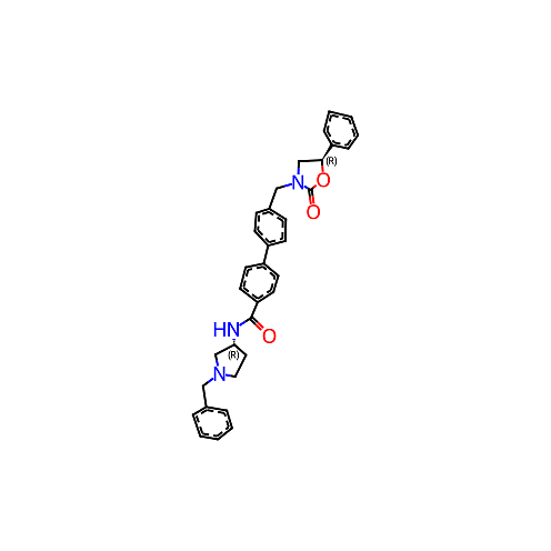 O=C(N[C@@H]1CCN(Cc2ccccc2)C1)c1ccc(-c2ccc(CN3C[C@@H](c4ccccc4)OC3=O)cc2)cc1